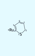 C1=CCSC=C1.[Ru]